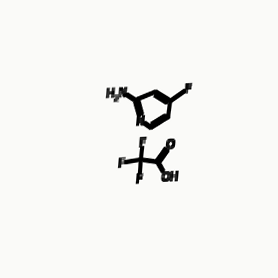 Nc1cc(F)ccn1.O=C(O)C(F)(F)F